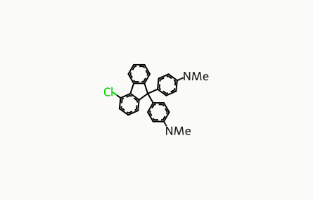 CNc1ccc(C2(c3ccc(NC)cc3)c3ccccc3-c3c(Cl)cccc32)cc1